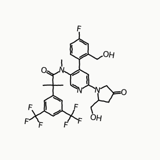 CN(C(=O)C(C)(C)c1cc(C(F)(F)F)cc(C(F)(F)F)c1)c1cnc(N2CC(=O)CC2CO)cc1-c1ccc(F)cc1CO